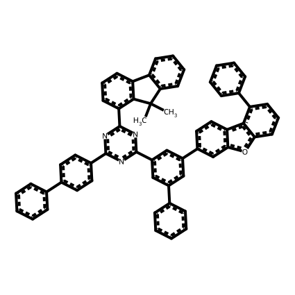 CC1(C)c2ccccc2-c2cccc(-c3nc(-c4ccc(-c5ccccc5)cc4)nc(-c4cc(-c5ccccc5)cc(-c5ccc6c(c5)oc5cccc(-c7ccccc7)c56)c4)n3)c21